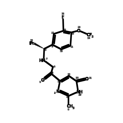 Cc1nc(C(=O)CN[C@@H](c2ccc(OC(F)(F)F)c(F)c2)C(C)C)cc(=O)[nH]1